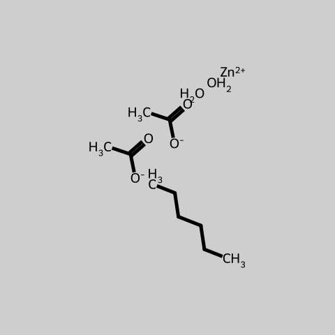 CC(=O)[O-].CC(=O)[O-].CCCCCC.O.O.[Zn+2]